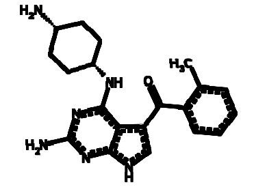 Cc1ccccc1C(=O)c1c[nH]c2nc(N)nc(N[C@H]3CC[C@@H](N)CC3)c12